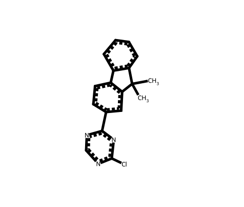 CC1(C)c2ccccc2-c2ccc(-c3ncnc(Cl)n3)cc21